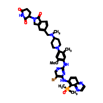 COc1cc(N2CCC(N(C)Cc3ccc4c(c3)CN(C3CCC(=O)NC3=O)C4=O)CC2)c(C)cc1Nc1ncc(Br)c(Nc2ccc3nccnc3c2P(C)(C)=O)n1